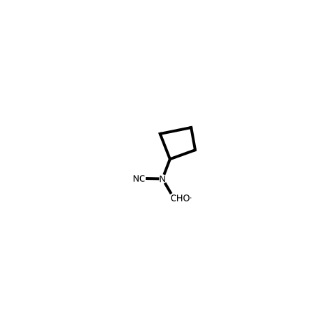 N#CN([C]=O)C1CCC1